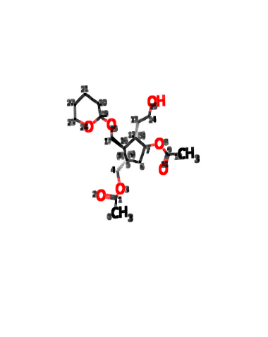 CC(=O)OC[C@H]1CC(OC(C)=O)[C@@H](CCO)[C@@H]1COC1CCCCO1